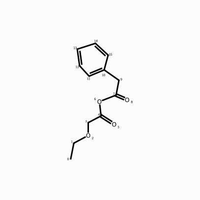 CCOCC(=O)OC(=O)Cc1ccccc1